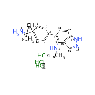 CNc1c(-c2ccc(C(C)(C)N)cc2)ccc2[nH]ncc12.Cl.Cl.Cl